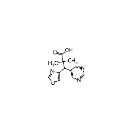 CC(C)(C(=O)O)C(c1cncnc1)c1cocn1